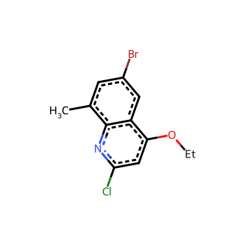 CCOc1cc(Cl)nc2c(C)cc(Br)cc12